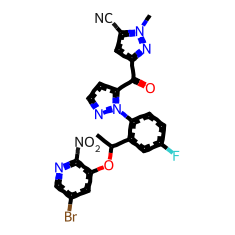 CC(Oc1cc(Br)cnc1[N+](=O)[O-])c1cc(F)ccc1-n1nccc1C(=O)c1cc(C#N)n(C)n1